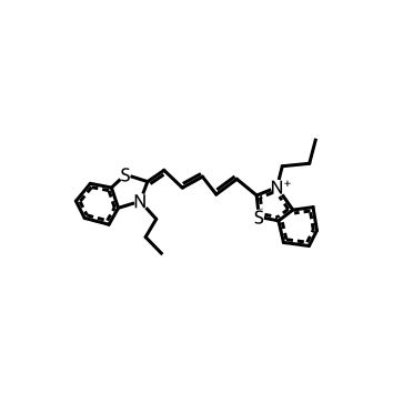 CCCN1C(=CC=CC=Cc2sc3ccccc3[n+]2CCC)Sc2ccccc21